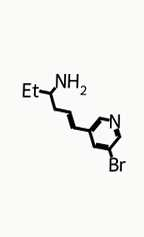 CCC(N)CC=Cc1cncc(Br)c1